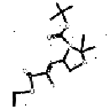 CCOC(=O)C(F)=CC1COC(C)(C)N1C(=O)OC(C)(C)C